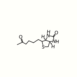 CC(=O)CCCCC1SC[C@H]2NC(=O)N[C@@H]12